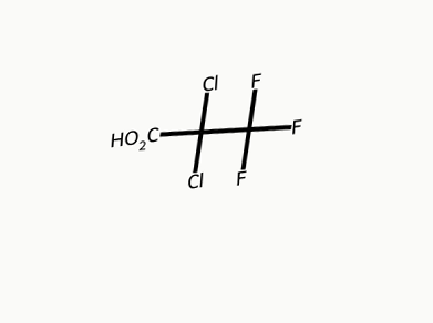 O=C(O)C(Cl)(Cl)C(F)(F)F